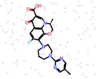 Cc1cnc(N2CCCN(c3c(F)cc4c(=O)c(C(=O)O)cn5c4c3OC[C@@H]5C)CC2)nc1